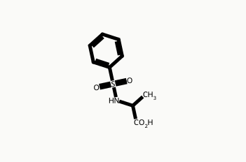 CC(NS(=O)(=O)c1ccccc1)C(=O)O